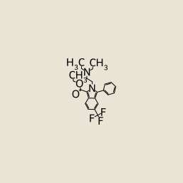 CCOC(=O)c1c2ccc(C(F)(F)F)cc2c(-c2ccccc2)n1CCN(CC)CC